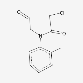 Cc1ccccc1N(CC=O)C(=O)CCl